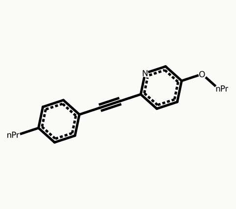 CCCOc1ccc(C#Cc2ccc(CCC)cc2)nc1